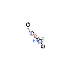 Clc1nc(-c2ccccc2)nc2[nH]c(COC3CCN(CCCc4ccccc4)CC3)cc12